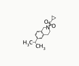 CC(C)c1ccc2c(c1)CCN(S(=O)(=O)C1CC1)C2